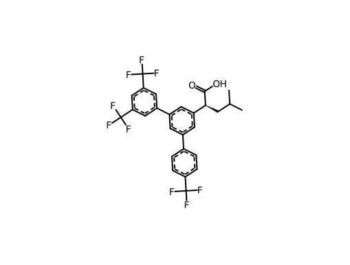 CC(C)C[C@H](C(=O)O)c1cc(-c2ccc(C(F)(F)F)cc2)cc(-c2cc(C(F)(F)F)cc(C(F)(F)F)c2)c1